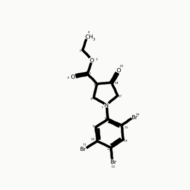 CCOC(=O)C1CN(c2cc(Br)c(Br)cc2Br)CC1=O